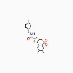 Cc1ccc(CNC(=O)c2cc3c(s2)-c2cc(C)c(C)cc2S(=O)(=O)C3)cc1